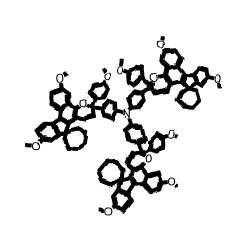 COc1ccc(C2(c3ccc(N(c4ccc(C5(c6ccc(OC)cc6)C=Cc6c7c(c8ccc(OC)cc8c6O5)-c5ccc(OC)cc5C75CCCCCC5)cc4)c4ccc(C5(c6ccc(OC)cc6)C=Cc6c7c(c8ccc(OC)cc8c6O5)-c5ccc(OC)cc5C75CCCCCC5)cc4)cc3)C=Cc3c4c(c5ccc(OC)cc5c3O2)-c2ccc(OC)cc2C42CCCCCC2)cc1